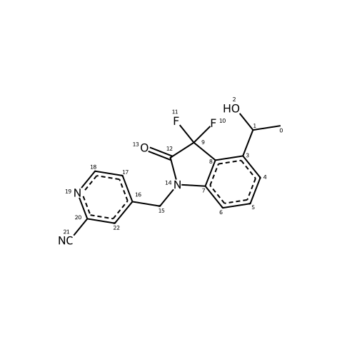 CC(O)c1cccc2c1C(F)(F)C(=O)N2Cc1ccnc(C#N)c1